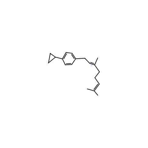 CC(C)=CCC/C(C)=C/[CH]c1ccc(C2CC2)cc1